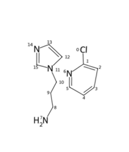 Clc1ccccn1.NCCCn1ccnc1